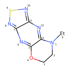 CCN1CCOc2nc3nsnc3nc21